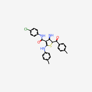 Cc1ccc(NC2=C(C(=O)Nc3ccc(Cl)cc3)C(=N)C(C(=O)c3ccc(C)cc3)S2)cc1